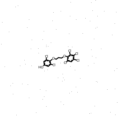 Oc1cc(Cl)c(OCCCOc2c(Cl)cc(Cl)c(Cl)c2Cl)c(Cl)c1